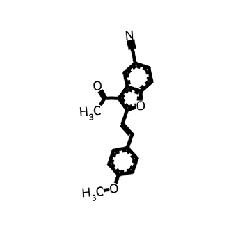 COc1ccc(/C=C/c2oc3ccc(C#N)cc3c2C(C)=O)cc1